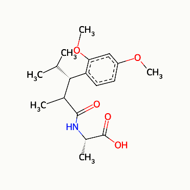 COc1ccc([C@@H](C(C)C)C(C)C(=O)N[C@@H](C)C(=O)O)c(OC)c1